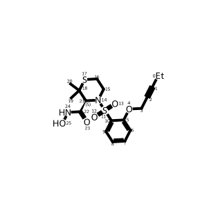 CCC#CCOc1ccccc1S(=O)(=O)N1CCSC(C)(C)[C@@H]1C(=O)NO